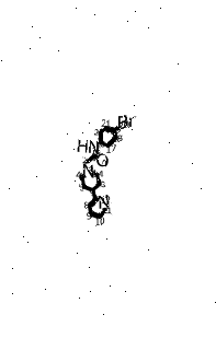 O=C(CN1CCC(c2ccccn2)CC1)Nc1ccc(Br)cc1